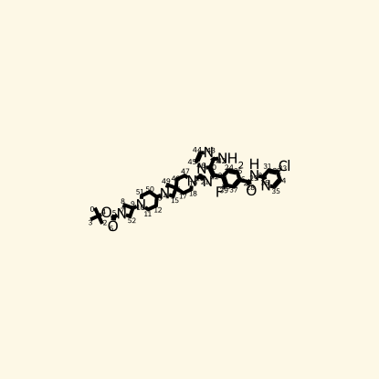 CC(C)(C)OC(=O)N1CC(N2CCC(N3CC4(CCN(c5nc(-c6ccc(C(=O)Nc7cc(Cl)ccn7)cc6F)c6c(N)nccn56)CC4)C3)CC2)C1